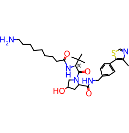 Cc1ncsc1-c1ccc(CNC(=O)C2CC(O)CN2C(=O)[C@@H](NC(=O)CCCCCCCCN)C(C)(C)C)cc1